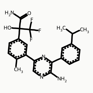 Cc1ccc(C(O)(C(N)=O)C(F)(F)F)cc1-c1cnc(N)c(-c2cccc(C(C)C)c2)n1